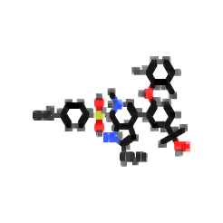 CCOC(=O)c1cc2c([nH]1)C(S(=O)(=O)c1ccc(C=O)cc1)N(C)C=C2c1cc(C(C)(C)O)ccc1Oc1c(C)cccc1C